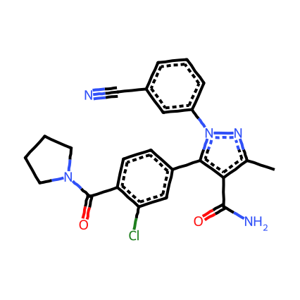 Cc1nn(-c2cccc(C#N)c2)c(-c2ccc(C(=O)N3CCCC3)c(Cl)c2)c1C(N)=O